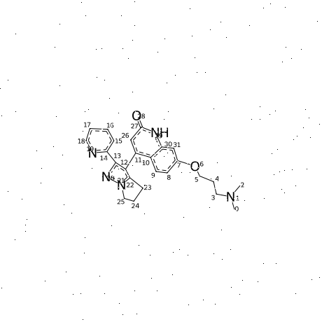 CN(C)CCCOc1ccc2c(-c3c(-c4ccccn4)nn4c3CCC4)cc(=O)[nH]c2c1